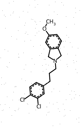 COc1ccc2c(c1)CN(CCCc1ccc(Cl)c(Cl)c1)C2